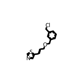 ClCc1cccc(COCC=Cc2cncs2)c1